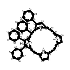 Nn1c2cc3nc(cc4ccc(cc5nc(c(-c6ccccc6)c1c(-c1ccccc1)c2-c1ccccc1)C(c1ccccc1)=C5)[nH]4)C=C3